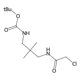 CC(C)(CNC(=O)CCl)CNC(=O)OC(C)(C)C